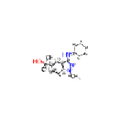 Cn1nc(NC2CCCCC2)c2cc(C(C)(C)O)ccc21